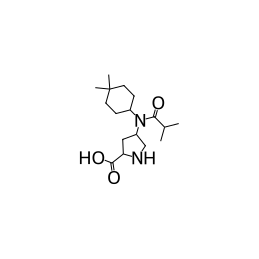 CC(C)C(=O)N(C1CCC(C)(C)CC1)C1CNC(C(=O)O)C1